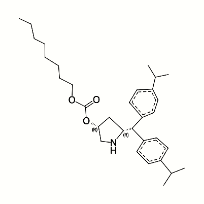 CCCCCCCCOC(=O)O[C@H]1CN[C@@H](C(c2ccc(C(C)C)cc2)c2ccc(C(C)C)cc2)C1